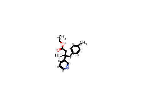 CCOC(=O)CC(C)(Cc1ccc(C)cc1)c1cccnc1